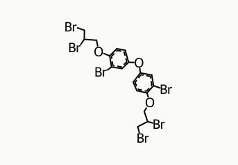 BrCC(Br)COc1ccc(Oc2ccc(OCC(Br)CBr)c(Br)c2)cc1Br